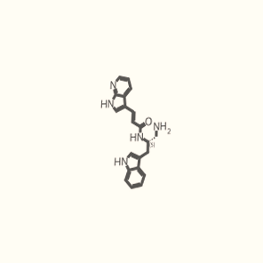 NC[C@H](Cc1c[nH]c2ccccc12)NC(=O)C=Cc1c[nH]c2ncccc12